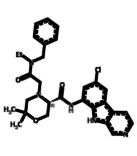 CCN(Cc1ccccc1)C(=O)CN1CC(C)(C)OC[C@H]1C(=O)Nc1cc(Cl)cc2c1[nH]c1cnccc12